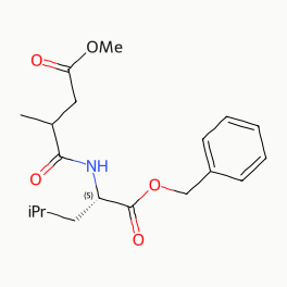 COC(=O)CC(C)C(=O)N[C@@H](CC(C)C)C(=O)OCc1ccccc1